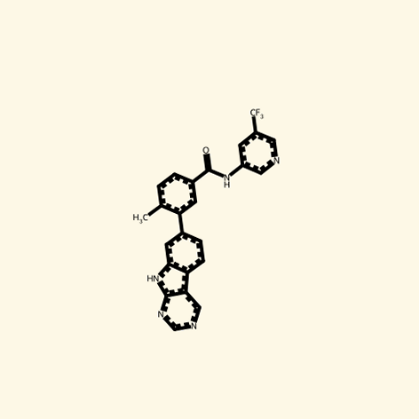 Cc1ccc(C(=O)Nc2cncc(C(F)(F)F)c2)cc1-c1ccc2c(c1)[nH]c1ncncc12